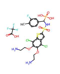 N#Cc1ccc(C(NS(=O)(=O)c2cc3c(Cl)c(OCCN)c(OCCN)c(Cl)c3s2)P(=O)(O)O)cc1F.O=C(O)C(F)(F)F